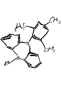 Cc1cc(C)c(B2c3ccccc3B(Br)c3ccccc32)c(C)c1